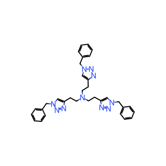 c1ccc(Cn2cc(CCN(CCc3cn(Cc4ccccc4)nn3)CCc3cn(Cc4ccccc4)nn3)nn2)cc1